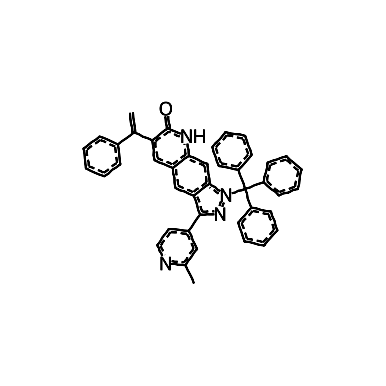 C=C(c1ccccc1)c1cc2cc3c(-c4ccnc(C)c4)nn(C(c4ccccc4)(c4ccccc4)c4ccccc4)c3cc2[nH]c1=O